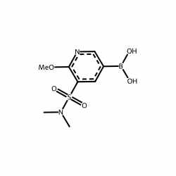 COc1ncc(B(O)O)cc1S(=O)(=O)N(C)C